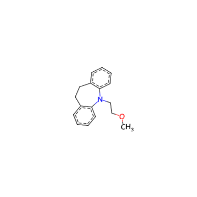 COCCN1c2ccccc2CCc2ccccc21